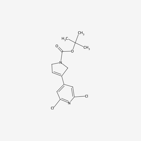 CC(C)(C)OC(=O)N1CC=C(c2cc(Cl)nc(Cl)c2)C1